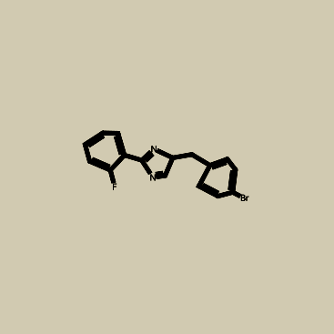 Fc1ccccc1C1=NC(Cc2ccc(Br)cc2)C=N1